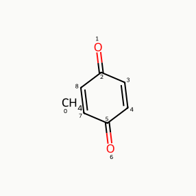 C.O=C1C=CC(=O)C=C1